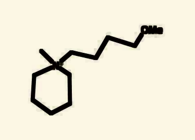 COCCCC[N+]1(C)CCCCC1